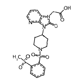 CS(=O)(=O)c1ccccc1S(=O)(=O)N1CCC(n2c(=O)n(CC(=O)O)c3cccnc32)CC1